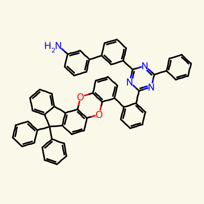 Nc1cccc(-c2cccc(-c3nc(-c4ccccc4)nc(-c4ccccc4-c4cccc5c4Oc4ccc6c(c4O5)-c4ccccc4C6(c4ccccc4)c4ccccc4)n3)c2)c1